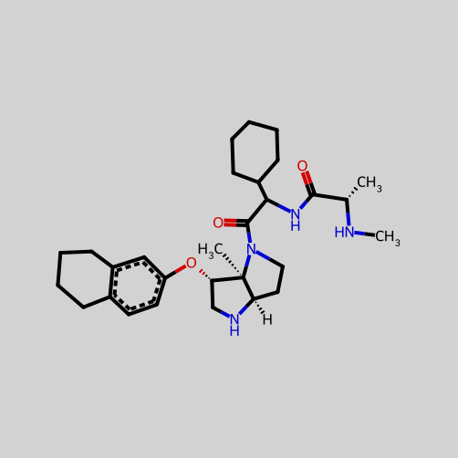 CN[C@@H](C)C(=O)NC(C(=O)N1CC[C@H]2NC[C@H](Oc3ccc4c(c3)CCCC4)[C@]21C)C1CCCCC1